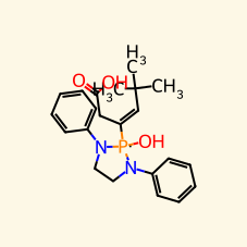 CC(C)(C)/C=C(\CC(=O)O)[P]1(O)N(c2ccccc2)CCN1c1ccccc1